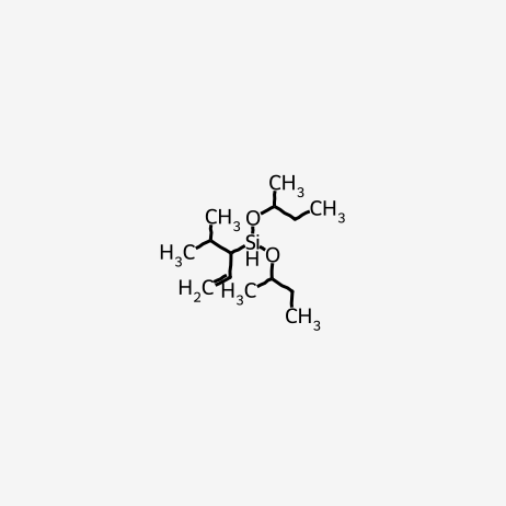 C=CC(C(C)C)[SiH](OC(C)CC)OC(C)CC